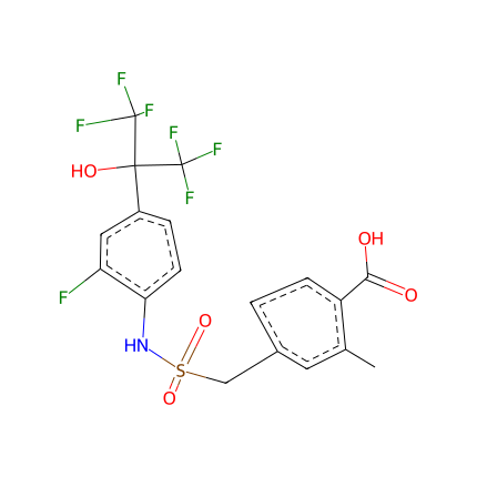 Cc1cc(CS(=O)(=O)Nc2ccc(C(O)(C(F)(F)F)C(F)(F)F)cc2F)ccc1C(=O)O